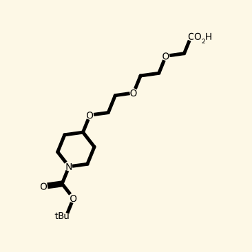 CC(C)(C)OC(=O)N1CCC(OCCOCCOCC(=O)O)CC1